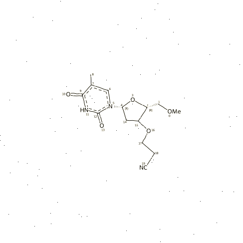 COC[C@H]1O[C@@H](n2cc(C)c(=O)[nH]c2=O)CC1OCCC#N